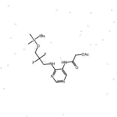 CC(=O)OCC(=O)Nc1cncnc1NCC(F)(F)CO[Si](C)(C)C(C)(C)C